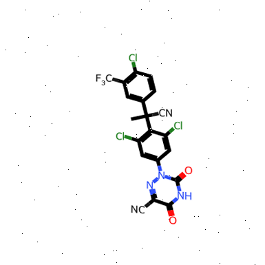 CC(C#N)(c1ccc(Cl)c(C(F)(F)F)c1)c1c(Cl)cc(-n2nc(C#N)c(=O)[nH]c2=O)cc1Cl